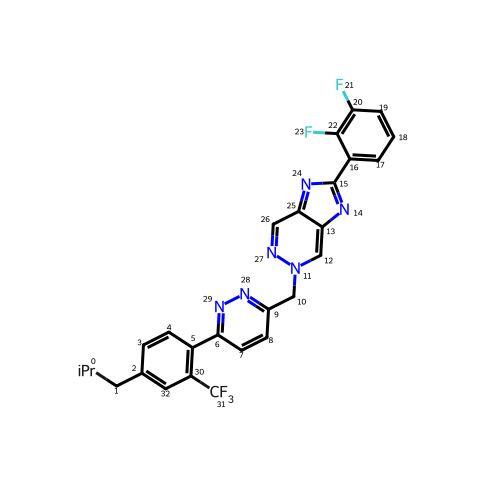 CC(C)Cc1ccc(-c2ccc(Cn3cc4nc(-c5cccc(F)c5F)nc-4cn3)nn2)c(C(F)(F)F)c1